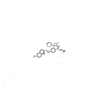 CC1CC(C2=CC=CCC2)(c2cc(OCc3ccc4cc(F)ccc4n3)ccc2C(=O)/C=C/N(C)C)C1